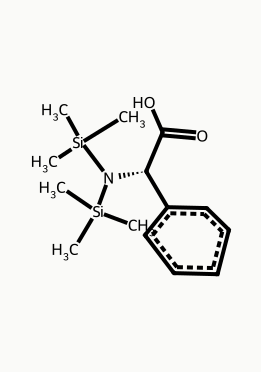 C[Si](C)(C)N([C@H](C(=O)O)c1ccccc1)[Si](C)(C)C